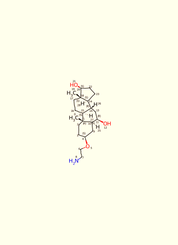 C[C@]12CC[C@H](OCCN)C[C@@H]1[C@H](O)C[C@@H]1[C@@H]2CC[C@]2(C)[C@@H](O)CC[C@@H]12